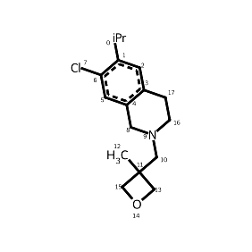 CC(C)c1cc2c(cc1Cl)CN(CC1(C)COC1)CC2